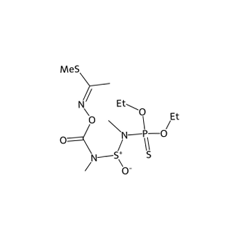 CCOP(=S)(OCC)N(C)[S+]([O-])N(C)C(=O)ON=C(C)SC